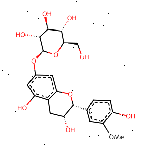 COc1cc([C@H]2Oc3cc(O[C@@H]4O[C@H](CO)[C@@H](O)[C@H](O)[C@H]4O)cc(O)c3C[C@H]2O)ccc1O